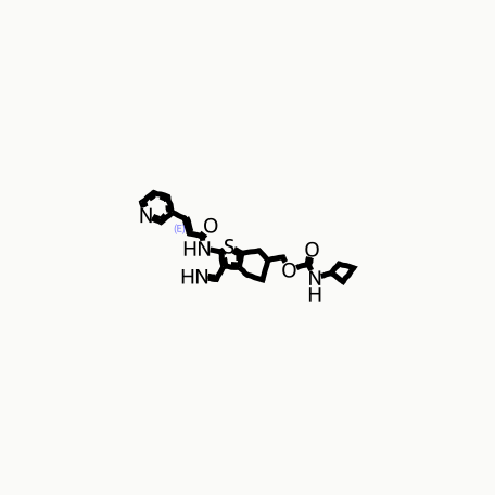 N=Cc1c(NC(=O)/C=C/c2cccnc2)sc2c1CCC(COC(=O)NC1CCC1)C2